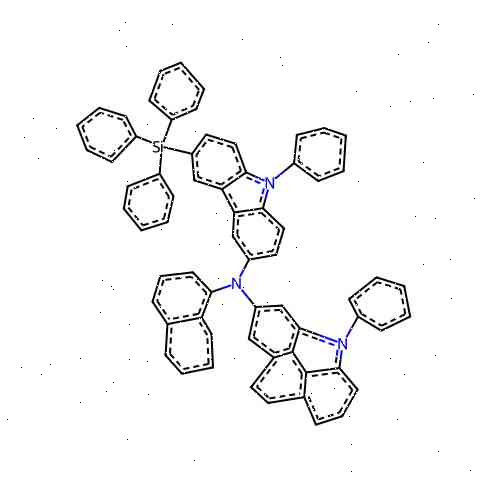 c1ccc(-n2c3ccc(N(c4cc5ccc6cccc7c6c5c(c4)n7-c4ccccc4)c4cccc5ccccc45)cc3c3cc([Si](c4ccccc4)(c4ccccc4)c4ccccc4)ccc32)cc1